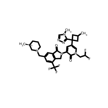 CC1CC(c2cc(N3Cc4c(cc(CN5CCC[C@H](C)C5)cc4C(F)(F)F)C3=O)c(=O)n(CC(F)F)c2)(c2nncn2C)C1